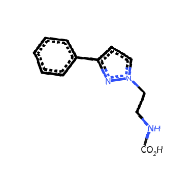 O=C(O)NCCn1ccc(-c2ccccc2)n1